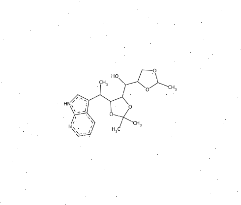 CC1OCC(C(O)C2OC(C)(C)OC2C(C)c2c[nH]c3ncccc23)O1